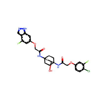 O=C(COc1cc(F)c2cn[nH]c2c1)NC12CCC(NC(=O)COc3ccc(Cl)c(F)c3)(CC1)C(O)C2